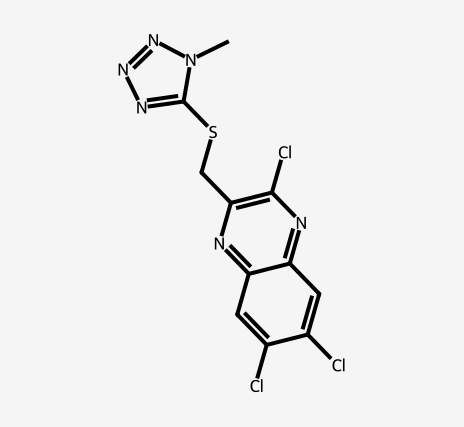 Cn1nnnc1SCc1nc2cc(Cl)c(Cl)cc2nc1Cl